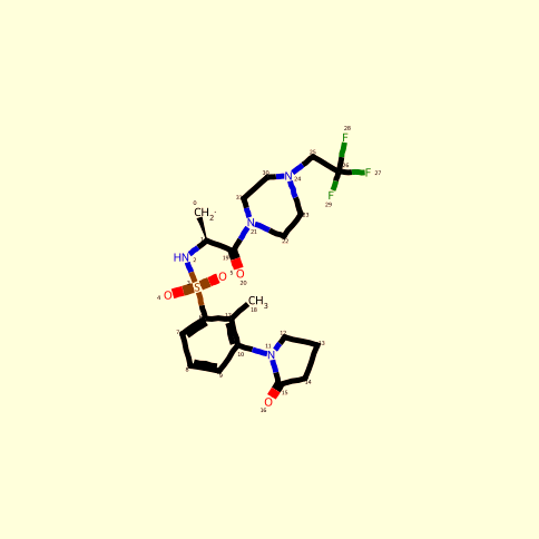 [CH2][C@H](NS(=O)(=O)c1cccc(N2CCCC2=O)c1C)C(=O)N1CCN(CC(F)(F)F)CC1